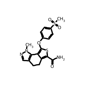 Cn1ncc2c1-c1c(Oc3ccc(S(C)(=O)=O)cc3)sc(C(N)=O)c1CC2